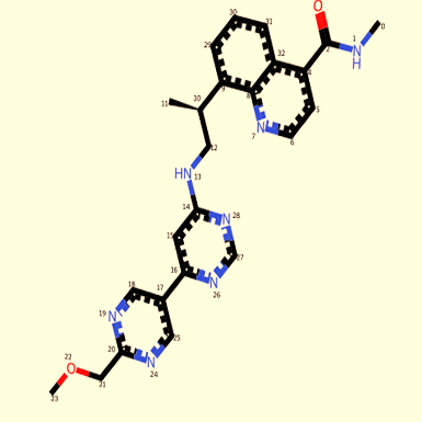 CNC(=O)c1ccnc2c([C@H](C)CNc3cc(-c4cnc(COC)nc4)ncn3)cccc12